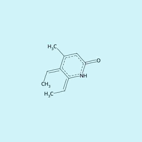 C/C=c1/c(C)cc(=O)[nH]/c1=C/C